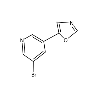 Brc1cncc(-c2cnco2)c1